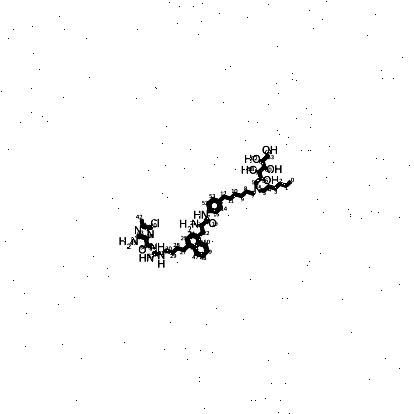 CCCCCCN(CCCCCCc1ccc(NC(=O)[C@@H](N)Cc2ccc(CCCCNC(=N)NC(=O)c3nc(Cl)c(C)nc3N)c3ccccc23)cc1)C[C@H](O)[C@@H](O)[C@H](O)[C@H](O)CO